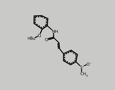 CCCCOc1ccccc1NC(=O)/C=C/c1ccc([S+](C)[O-])cc1